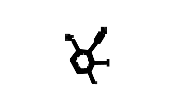 [CH2]c1ccc(Br)c(C#N)c1I